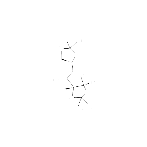 C[C@@H]1[C@H]([C@H]2COC(C)(C)O2)O[C@@H]2OC(C)(C)O[C@@H]21